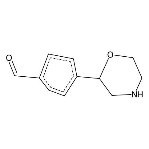 O=Cc1ccc(C2CNCCO2)cc1